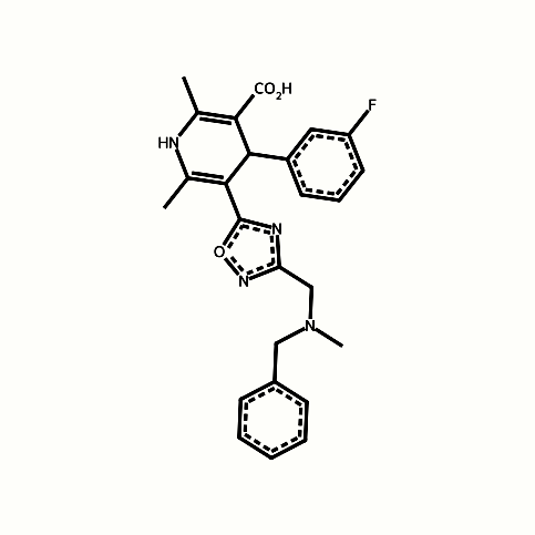 CC1=C(C(=O)O)C(c2cccc(F)c2)C(c2nc(CN(C)Cc3ccccc3)no2)=C(C)N1